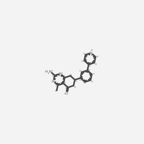 Cc1nc(N)nc2c1C(=O)CC(c1cccc(-c3ccncc3)c1)C2